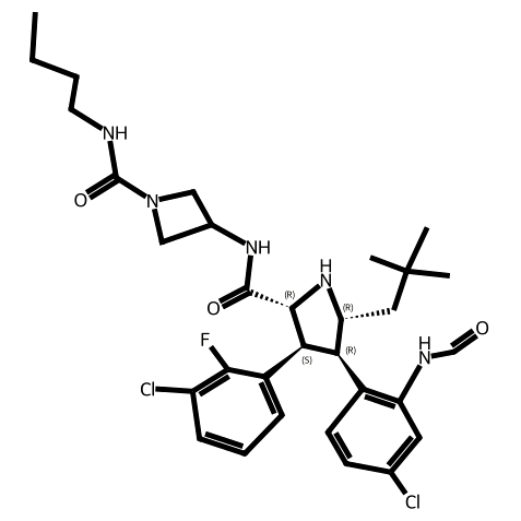 CCCCNC(=O)N1CC(NC(=O)[C@@H]2N[C@H](CC(C)(C)C)[C@@H](c3ccc(Cl)cc3NC=O)[C@H]2c2cccc(Cl)c2F)C1